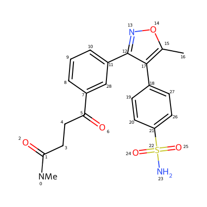 CNC(=O)CCC(=O)c1cccc(-c2noc(C)c2-c2ccc(S(N)(=O)=O)cc2)c1